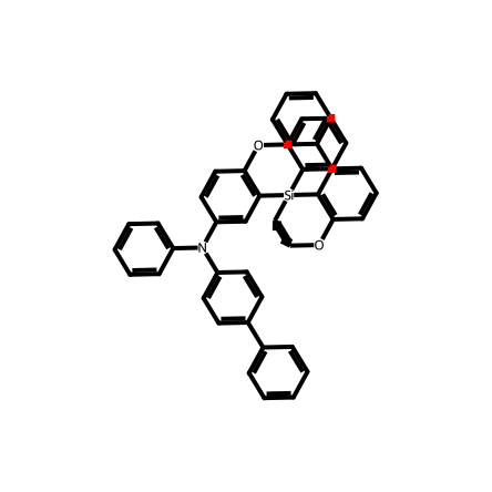 c1ccc(-c2ccc(N(c3ccccc3)c3ccc4c(c3)[Si]3(c5ccccc5O4)c4ccccc4Oc4cccc(-c5ccccc5)c43)cc2)cc1